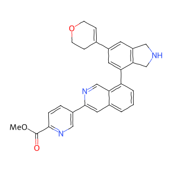 COC(=O)c1ccc(-c2cc3cccc(-c4cc(C5=CCOCC5)cc5c4CNC5)c3cn2)cn1